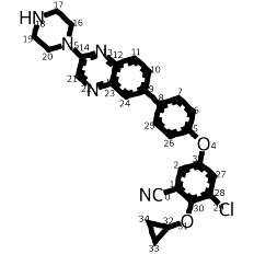 N#Cc1cc(Oc2ccc(-c3ccc4nc(N5CCNCC5)cnc4c3)cc2)cc(Cl)c1OC1CC1